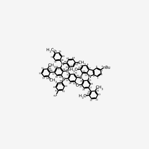 CCCCc1ccc2c(c1)c1ccc(C)c3c1n2-c1cc(-c2c(C)cccc2C)cc2c1B3c1cc3c(cc1O2)N(c1ccc(I)cc1)c1cc(-c2c(C)cccc2C)cc2c1B3c1cc(C)ccc1N2c1ccc(C)cc1